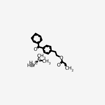 Br.C=CC(=O)OCCc1ccc(C(=O)c2ccccc2)cc1.CN(C)C